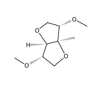 CO[C@H]1CO[C@]2(C)[C@@H](OC)CO[C@H]12